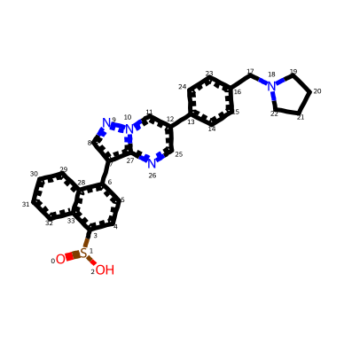 O=S(O)c1ccc(-c2cnn3cc(-c4ccc(CN5CCCC5)cc4)cnc23)c2ccccc12